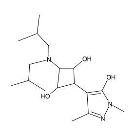 Cc1nn(C)c(O)c1C1C(O)C(N(CC(C)C)CC(C)C)C1O